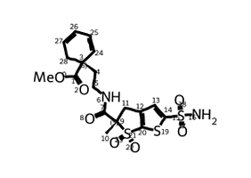 COC(=O)[C@@]1(CCNC(=O)[C@]2(C)Cc3cc(S(N)(=O)=O)sc3S2(=O)=O)C=CC=CC1